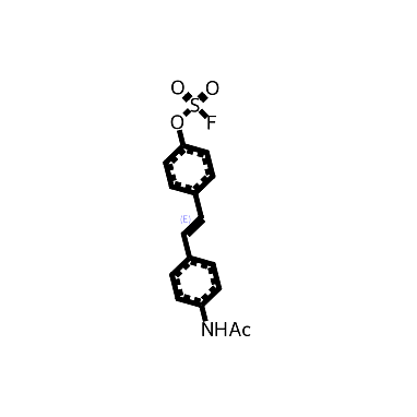 CC(=O)Nc1ccc(/C=C/c2ccc(OS(=O)(=O)F)cc2)cc1